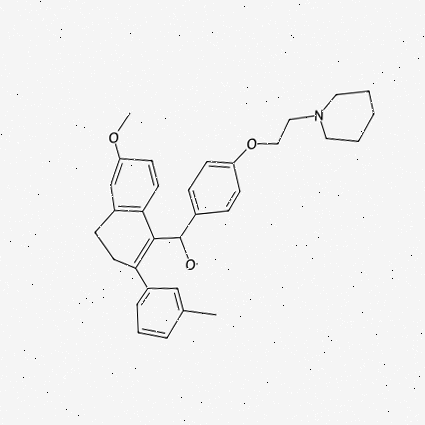 COc1ccc2c(c1)CCC(c1cccc(C)c1)=C2C([O])c1ccc(OCCN2CCCCC2)cc1